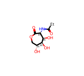 CCC(=O)N[C@H]1C(=O)OC[C@@H](O)[C@H](O)[C@@H]1O